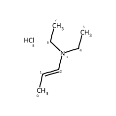 CC=CN(CC)CC.Cl